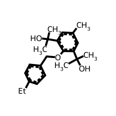 CCc1ccc(COc2c(C(C)(C)O)cc(C)cc2C(C)(C)O)cc1